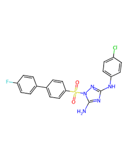 Nc1nc(Nc2ccc(Cl)cc2)nn1S(=O)(=O)c1ccc(-c2ccc(F)cc2)cc1